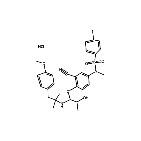 COc1ccc(CC(C)(C)NC(Oc2ccc(N(C)S(=O)(=O)c3ccc(C)cc3)cc2C#N)C(C)O)cc1.Cl